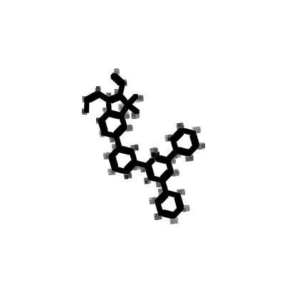 C=CC1=C(/C=C\C)c2ccc(-c3cccc(-c4cc(-c5ccccc5)cc(-c5ccccc5)n4)c3)cc2C1(C)C